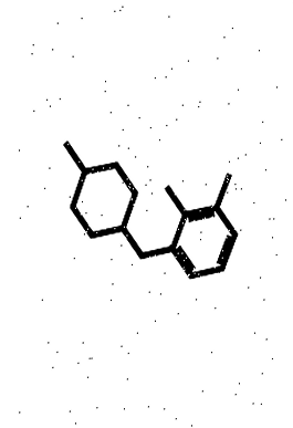 Cc1cccc(CC2CCC(C)CC2)c1C